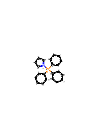 c1ccc([PH](c2ccccc2)(c2ccccc2)n2cccc2)cc1